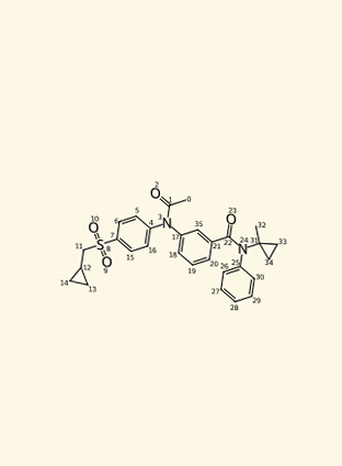 CC(=O)N(c1ccc(S(=O)(=O)CC2CC2)cc1)c1cccc(C(=O)N(c2ccccc2)C2(C)CC2)c1